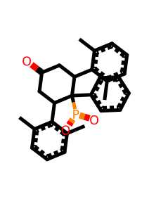 Cc1cccc(C)c1C1CC(=O)CC(c2c(C)cccc2C)C1(c1ccccc1)P(=O)=O